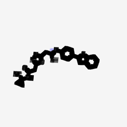 N#CC1(NC(=O)Cc2nnc(C/C(S)=N/c3ccc(-c4cc5ccccc5s4)cc3)o2)CC1